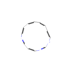 C1=CC=CN=CC=CN=CNC=CC=C1